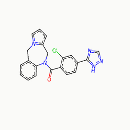 O=C(c1ccc(-c2ncn[nH]2)cc1Cl)N1Cc2cccn2Cc2ccccc21